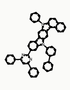 c1ccc(-c2cccc(-n3c4cc(-c5nc(-c6ccccc6)cc(-c6ccccc6)n5)ccc4c4cc5c(cc43)c3c4ccccc4ccc3n5-c3ccccc3)c2)cc1